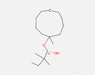 CCC(C)(C)[C@@H](O)OC1(C)CCCCCCCCC1